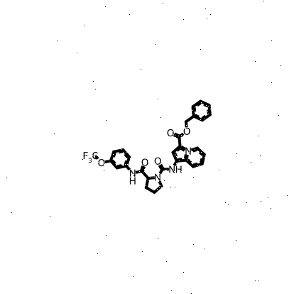 O=C(OCc1ccccc1)c1cc(NC(=O)N2CCCC2C(=O)Nc2cccc(OC(F)(F)F)c2)c2ccccn12